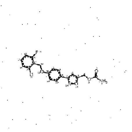 NC(=O)OCc1cc(-c2ccc(OCc3c(F)cccc3Cl)cc2)no1